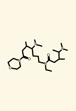 CCN(CCCC(C(C)CC(=O)N1CCOCC1)N(C)C)C(=O)CC(C)C(C)N(C)C